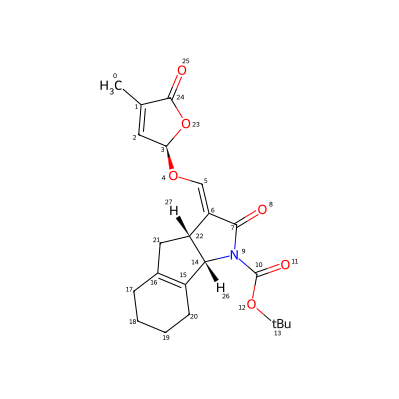 CC1=C[C@H](O/C=C2/C(=O)N(C(=O)OC(C)(C)C)[C@@H]3C4=C(CCCC4)C[C@H]23)OC1=O